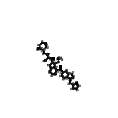 CCc1c(NC(=O)OC[C@@H]2COCCN2)cn2ncnc(Nc3ccc4c(cnn4Cc4nccs4)c3)c12